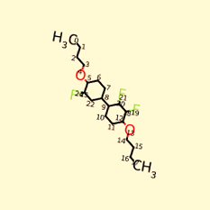 CCCCOC1CCC(C2CCC(OCCCC)C(F)C2F)CC1F